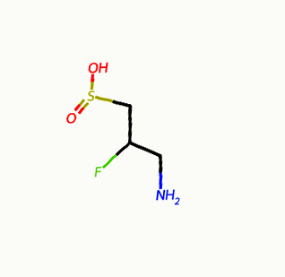 NCC(F)CS(=O)O